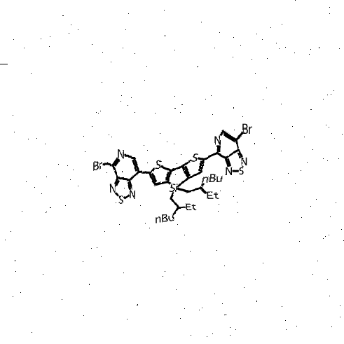 CCCCC(CC)C[Si]1(CC(CC)CCCC)c2cc(-c3cnc(Br)c4nsnc34)sc2-c2sc(-c3ncc(Br)c4nsnc34)cc21